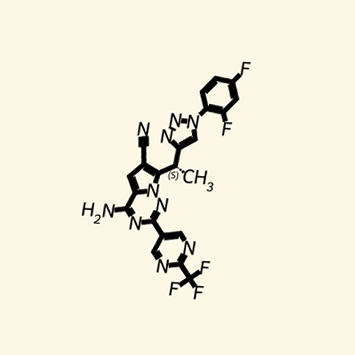 C[C@@H](c1cn(-c2ccc(F)cc2F)nn1)c1c(C#N)cc2c(N)nc(-c3cnc(C(F)(F)F)nc3)nn12